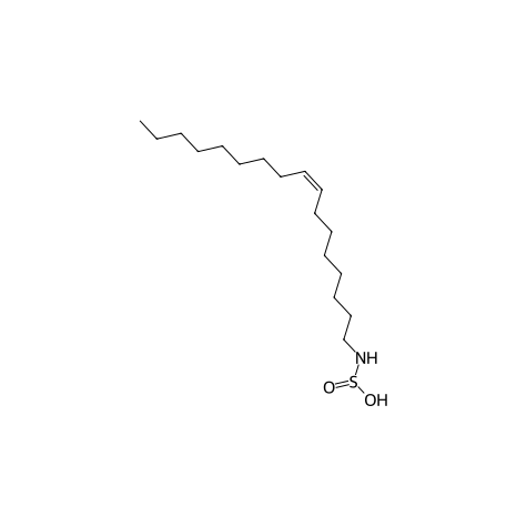 CCCCCCCC/C=C\CCCCCCCNS(=O)O